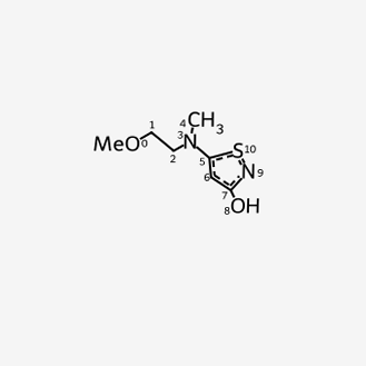 COCCN(C)c1cc(O)ns1